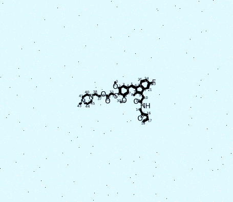 COc1cc(C=C2C(C)=C(CC(=O)NCc3ccco3)c3cc(F)ccc32)cc(OC)c1SCC(=O)OCCN1CCN(C)CC1